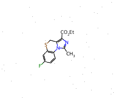 CCOC(=O)c1nc(C)n2c1CSc1cc(F)ccc1-2